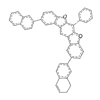 C1=Cc2ccc(-c3ccc4oc5c(-c6ccccc6)c6oc7ccc(-c8ccc9ccccc9c8)cc7c6cc5c4c3)cc2CC1